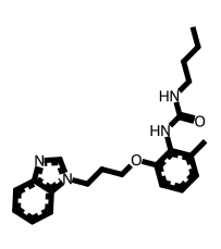 CCCCNC(=O)Nc1c(C)cccc1OCCCn1cnc2ccccc21